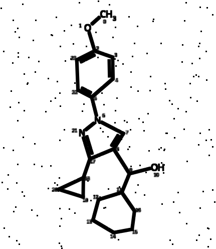 COc1ccc(-n2cc(C(O)C3CCCCC3)c(C3CC3)n2)cc1